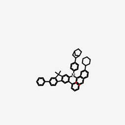 CC1(C)c2cc(-c3ccccc3)ccc2-c2cc(-c3ccccc3)c(N(c3ccc(C4CC5CCC4C5)cc3)c3cccc4ccc(C5CCCCC5)cc34)cc21